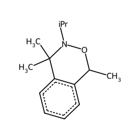 CC1ON(C(C)C)C(C)(C)c2ccccc21